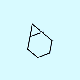 [CH]1CCCC2CN12